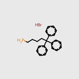 Br.PCCCCC(c1ccccc1)(c1ccccc1)c1ccccc1